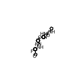 Cn1c(Nc2ccc(F)c(C3CCOC3)c2)nc2cc(Oc3ccnc(NC(=O)CNC4CCCC4)c3)ccc21